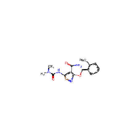 COc1ccccc1COc1nsc(NC(=O)N(C)C)c1C(N)=O